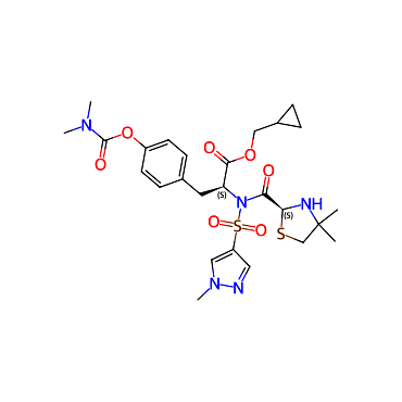 CN(C)C(=O)Oc1ccc(C[C@@H](C(=O)OCC2CC2)N(C(=O)[C@H]2NC(C)(C)CS2)S(=O)(=O)c2cnn(C)c2)cc1